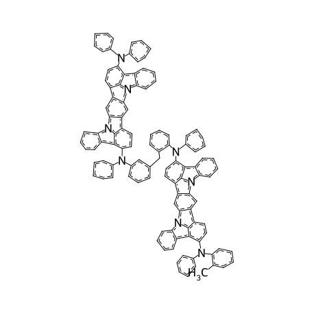 Cc1ccccc1N(c1ccccc1)c1ccc2c3cc4c(cc3n3c5ccccc5c1c23)c1ccc(N(c2ccccc2)c2ccccc2Cc2cccc(N(c3ccccc3)c3ccc5c6cc7c(cc6n6c8ccccc8c3c56)c3ccc(N(c5ccccc5)c5ccccc5)c5c6ccccc6n7c35)c2)c2c3ccccc3n4c12